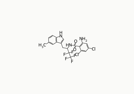 Cc1ccc2[nH]cc(CC(NS(=O)(=O)c3c(N)cc(Cl)cc3Cl)C(F)(F)C(F)(F)F)c2c1